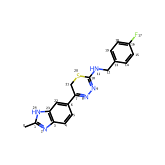 Cc1nc2ccc(C3=NN=C(NCc4ccc(F)cc4)SC3)cc2[nH]1